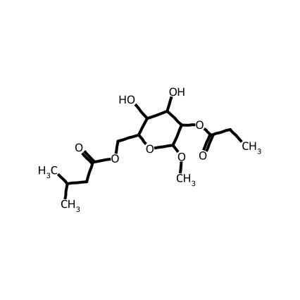 CCC(=O)OC1C(OC)OC(COC(=O)CC(C)C)C(O)C1O